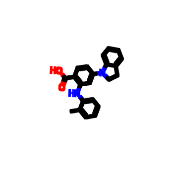 Cc1ccccc1Nc1cc(N2CCc3ccccc32)ccc1C(=O)O